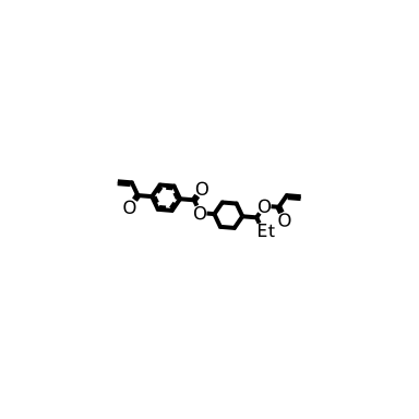 C=CC(=O)OC(CC)C1CCC(OC(=O)c2ccc(C(=O)C=C)cc2)CC1